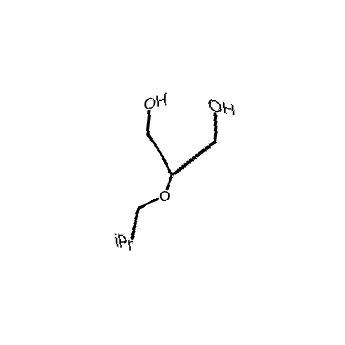 CC(C)COC(CO)CO